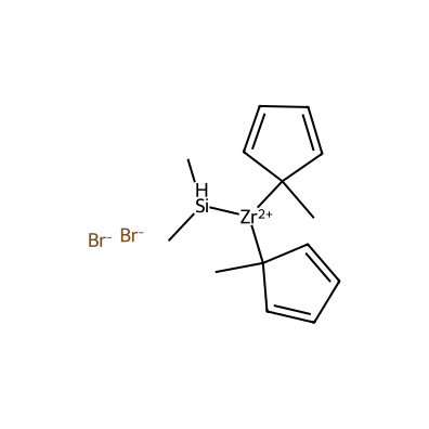 C[SiH](C)[Zr+2]([C]1(C)C=CC=C1)[C]1(C)C=CC=C1.[Br-].[Br-]